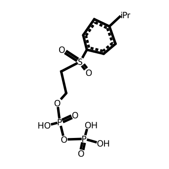 CC(C)c1ccc(S(=O)(=O)CCOP(=O)(O)OP(=O)(O)O)cc1